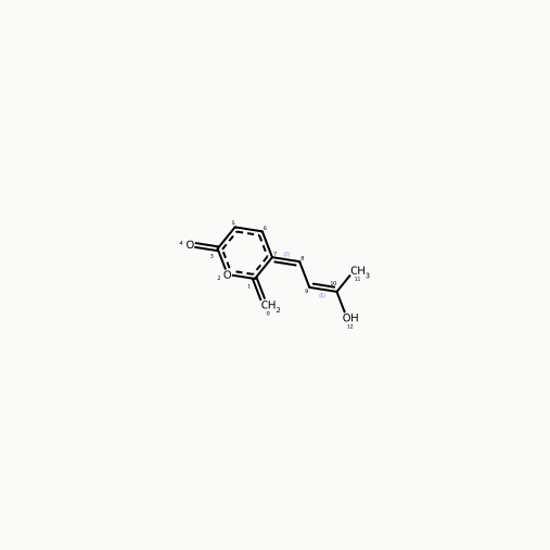 C=c1oc(=O)cc/c1=C/C=C(\C)O